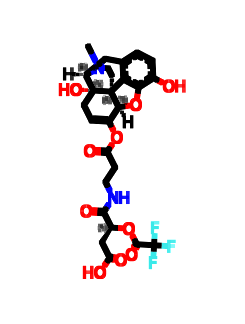 CN1CC[C@]23c4c5ccc(O)c4O[C@H]2C(OC(=O)CCNC(=O)[C@H](CC(=O)O)OC(=O)C(F)(F)F)=CC[C@@]3(O)[C@H]1C5